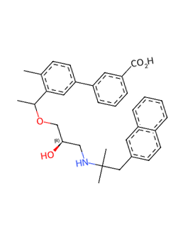 Cc1ccc(-c2cccc(C(=O)O)c2)cc1C(C)OC[C@H](O)CNC(C)(C)Cc1ccc2ccccc2c1